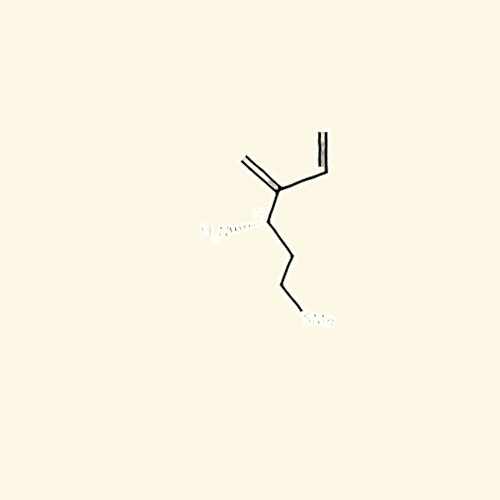 C=CC(=C)[C@@H](N)CCSC